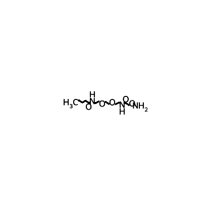 CCCCC(=O)NCCOCCOCCNC(=O)CON